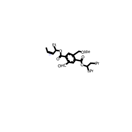 C/C=C\C(CC)OC(=O)c1cc(COC)c(C(=O)OC(CCC)CC(C)C)cc1C=O